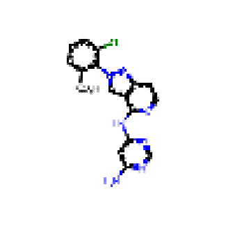 Nc1cc(Nc2nccc3nn(-c4c(Cl)cccc4C(=O)O)cc23)ncn1